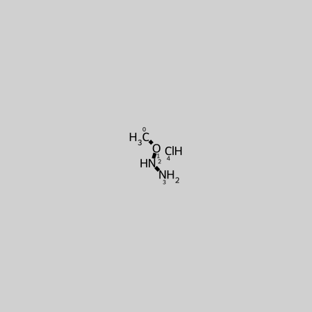 CONN.Cl